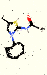 Cc1cn(-c2ccccc2)/c(=N/C(=O)C(C)(C)C)s1